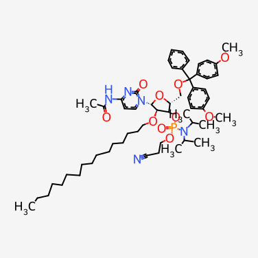 CCCCCCCCCCCCCCCCO[C@@H]1[C@H](OP(=O)(OCCC#N)N(C(C)C)C(C)C)[C@@H](COC(c2ccccc2)(c2ccc(OC)cc2)c2ccc(OC)cc2)O[C@H]1n1ccc(NC(C)=O)nc1=O